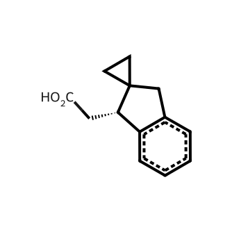 O=C(O)C[C@H]1c2ccccc2CC12CC2